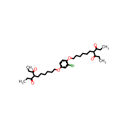 CCC(=O)C(CCCCCCOc1ccc(OCCCCCCC(C(=O)CC)C(=O)CC)c(Br)c1)C(=O)CC